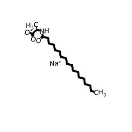 CCCCCCCCCCCCCCCCCC(=O)N[C@@H](C)C(=O)[O-].[Na+]